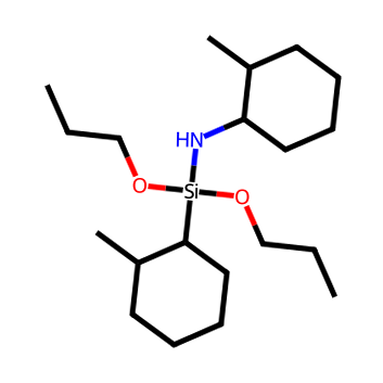 CCCO[Si](NC1CCCCC1C)(OCCC)C1CCCCC1C